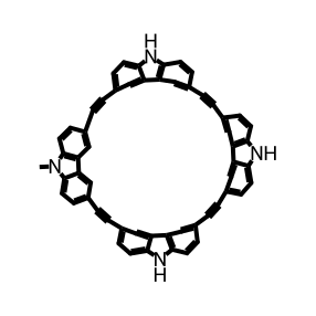 Cn1c2ccc3cc2c2cc(ccc21)C#Cc1ccc2[nH]c4ccc(cc4c2c1)C#Cc1ccc2[nH]c4ccc(cc4c2c1)C#Cc1ccc2[nH]c4ccc(cc4c2c1)C#C3